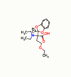 CCOCCC(C(=O)O)(N(CC)CC)C1(C)Oc2ccccc2O1